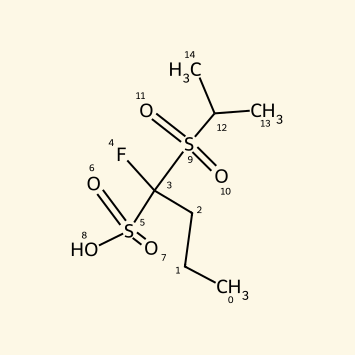 CCCC(F)(S(=O)(=O)O)S(=O)(=O)C(C)C